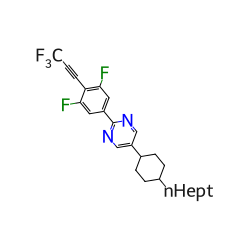 CCCCCCCC1CCC(c2cnc(-c3cc(F)c(C#CC(F)(F)F)c(F)c3)nc2)CC1